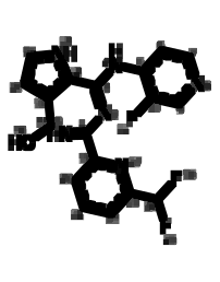 N=C(/N=C(/Nc1ccncc1F)c1[nH]ccc1CO)c1cccc(C(F)F)n1